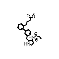 CCS(=O)(=O)NC1CCNC1Cc1cccc(-c2ccccc2CCCC(=O)OC)c1